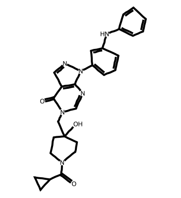 O=C(C1CC1)N1CCC(O)(Cn2cnc3c(cnn3-c3cccc(Nc4ccccc4)c3)c2=O)CC1